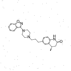 C[C@@H]1CC(=O)Nc2ccc(CCCN3CCN(c4noc5ccccc45)CC3)cc21